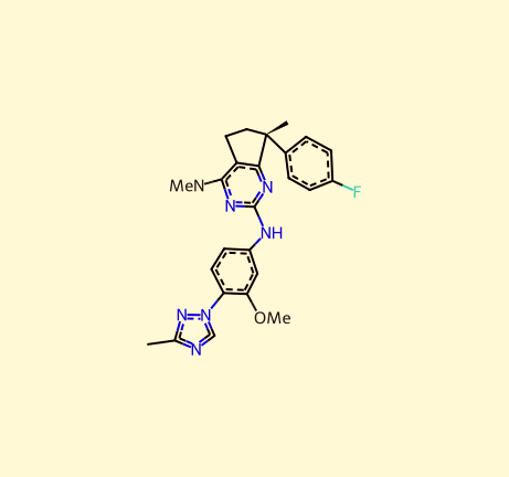 CNc1nc(Nc2ccc(-n3cnc(C)n3)c(OC)c2)nc2c1CC[C@]2(C)c1ccc(F)cc1